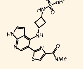 CCCS(=O)(=O)N[C@H]1C[C@@H](Nc2c(-c3nc(C(=O)NC)cs3)cnc3[nH]ccc23)C1